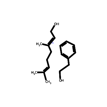 CC(C)=CCC/C(C)=C/CO.OCCc1ccccc1